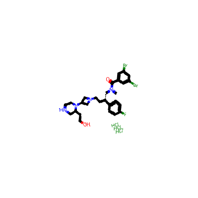 CN(C[C@@H](CCN1CC(N2CCNCC2CCO)C1)c1ccc(F)cc1)C(=O)c1cc(Br)cc(Br)c1.Cl.Cl.Cl